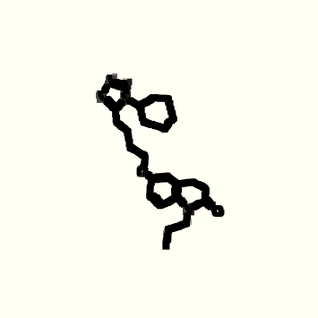 CCCN1C(=O)CCc2cc(OCCCCc3nnnn3C3CCCCC3)ccc21